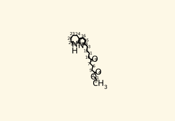 CCOC(=O)CCCC(=O)CCCCc1ccc2c(n1)NCCCC2